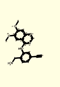 C#Cc1ccc(CN)c(Nc2ncnc3cc(OC)c(OC)cc23)c1